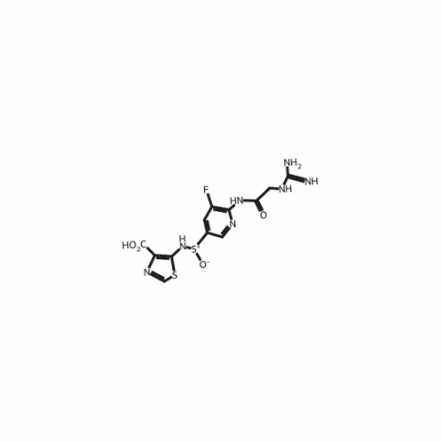 N=C(N)NCC(=O)Nc1ncc([S+]([O-])Nc2scnc2C(=O)O)cc1F